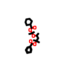 CC(CC(C)(C)OC(=O)c1ccccc1)OC(C)(C)OC(=O)C1CCCCC1